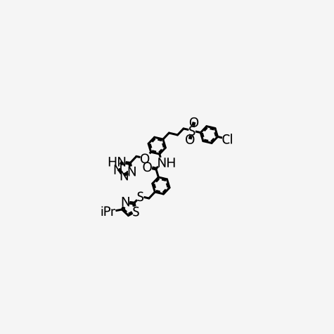 CC(C)c1csc(SCc2cccc(C(=O)Nc3cc(CCCS(=O)(=O)c4ccc(Cl)cc4)ccc3OCc3nnn[nH]3)c2)n1